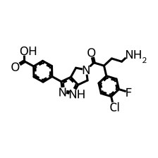 NCCC(C(=O)N1Cc2[nH]nc(-c3ccc(C(=O)O)cc3)c2C1)c1ccc(Cl)c(F)c1